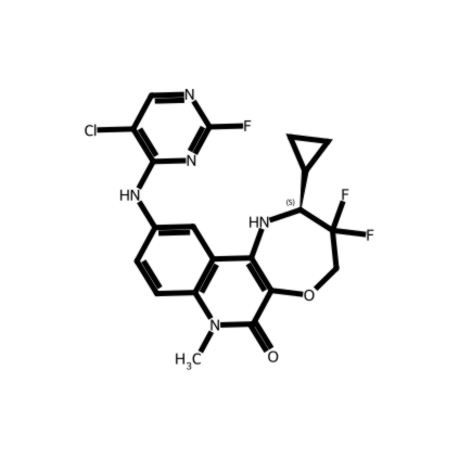 Cn1c(=O)c2c(c3cc(Nc4nc(F)ncc4Cl)ccc31)N[C@@H](C1CC1)C(F)(F)CO2